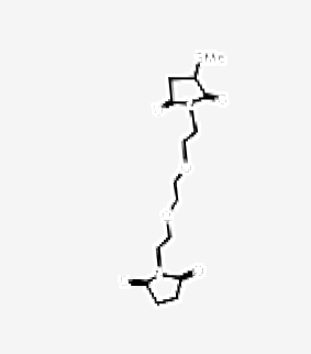 CSC1CC(=O)N(CCOCCOCCN2C(=O)CCC2=O)C1=O